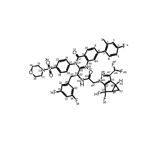 Cc1cc(F)ccc1-c1ccc2c(=O)n(-c3ccc(S(=O)(=O)N4CCOCC4)cc3)c([C@H](Cc3cc(F)cc(F)c3)NC(=O)Cn3nc(C(F)F)c4c3C(F)(F)C3C[C@@H]43)nc2c1